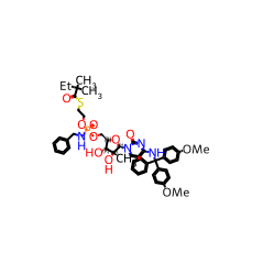 CCC(C)(C)C(=O)SCCOP(=O)(NCc1ccccc1)OC[C@H]1O[C@@H](n2ccc(NC(c3ccccc3)(c3ccc(OC)cc3)c3ccc(OC)cc3)nc2=O)[C@](C)(O)[C@@H]1O